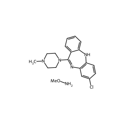 CN1CCN(C2=Nc3cc(Cl)ccc3Nc3ccccc32)CC1.CON